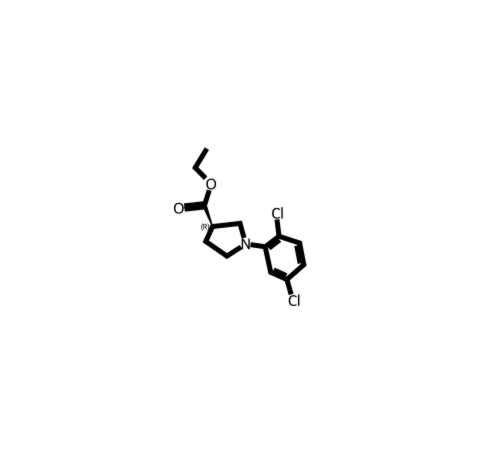 CCOC(=O)[C@@H]1CCN(c2cc(Cl)ccc2Cl)C1